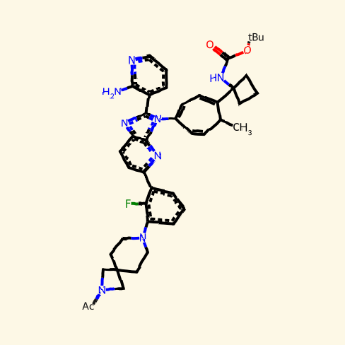 CC(=O)N1CC2(CCN(c3cccc(-c4ccc5nc(-c6cccnc6N)n(C6=CC=C(C7(NC(=O)OC(C)(C)C)CCC7)C(C)C=C6)c5n4)c3F)CC2)C1